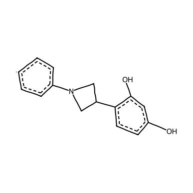 Oc1ccc(C2CN(c3cc[c]cc3)C2)c(O)c1